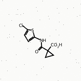 O=C(O)C1(C(=O)Nc2ccc(Cl)s2)CC1